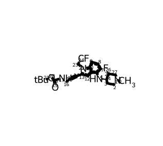 CN1CC[C@@H](Nc2cccc3c2cc(C#CCNC(=O)OC(C)(C)C)n3CC(F)(F)F)[C@@H](F)C1